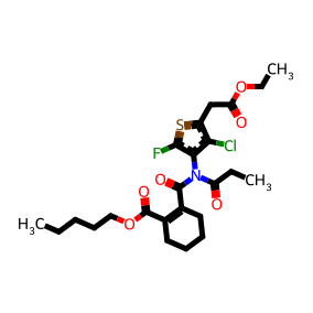 CCCCCOC(=O)C1=C(C(=O)N(C(=O)CC)c2c(F)sc(CC(=O)OCC)c2Cl)CCCC1